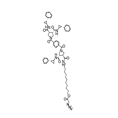 [N-]=[N+]=NCC(=O)OCCCCCCCCCCCCNC(=O)[C@@H]1CN(C(=O)c2ccc(C(=O)N3C[C@@H](C(=O)N[C@H]4C[C@@H]4c4ccccc4)[C@H](C(=O)N[C@H]4C[C@@H]4c4ccccc4)C3)cc2)C[C@H]1C(=O)N[C@H]1C[C@@H]1c1ccccc1